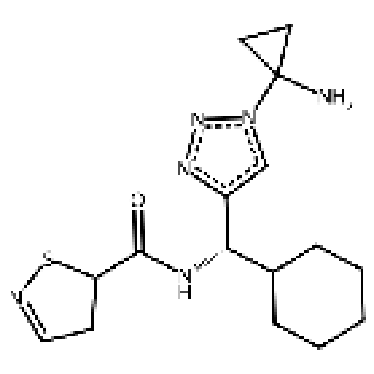 NC1(n2cc([C@@H](NC(=O)C3CC=NS3)C3CCCCC3)nn2)CC1